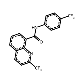 O=C(Nc1ccc(C(F)(F)F)cc1)c1cccc2ccc(C(F)(F)F)nc12